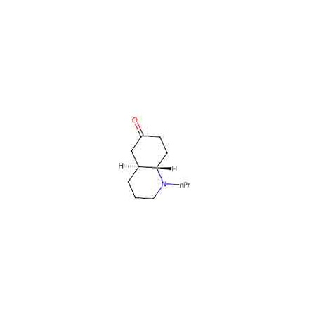 CCCN1CCC[C@H]2CC(=O)CC[C@@H]21